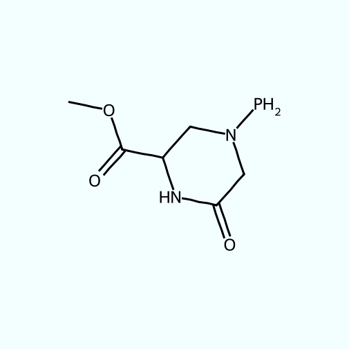 COC(=O)C1CN(P)CC(=O)N1